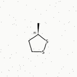 C[C@@H]1CCSS1